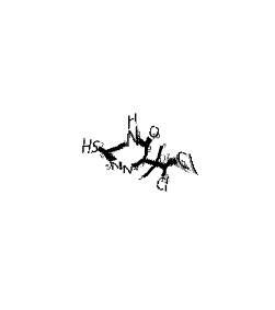 CC(C)(c1nnc(S)[nH]c1=O)C(Cl)Cl